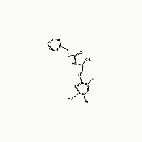 Cc1nc(OC[C@H](C)NC(=O)OCc2ccccc2)c(Br)cc1Br